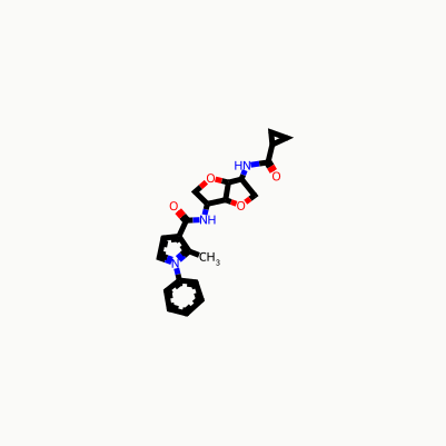 Cc1c(C(=O)NC2COC3C(NC(=O)C4CC4)COC23)ccn1-c1ccccc1